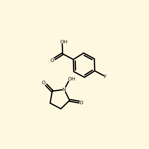 O=C(O)c1ccc(F)cc1.O=C1CCC(=O)N1O